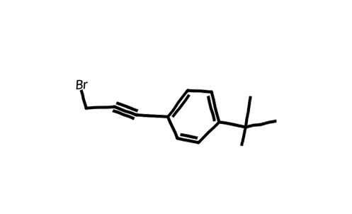 CC(C)(C)c1ccc(C#CCBr)cc1